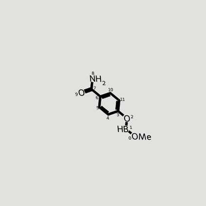 COBOc1ccc(C(N)=O)cc1